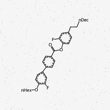 CCCCCCCCCCCCc1ccc(OC(=O)c2ccc(-c3ccc(OCCCCCC)c(F)c3)cc2)c(F)c1